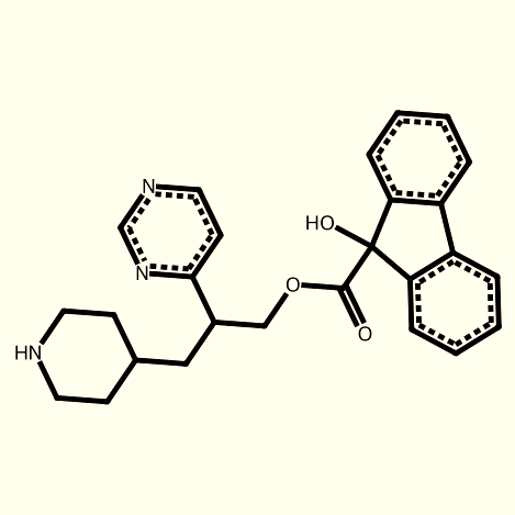 O=C(OCC(CC1CCNCC1)c1ccncn1)C1(O)c2ccccc2-c2ccccc21